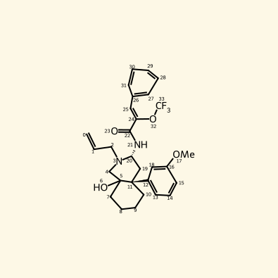 C=CCN1CC2(O)CCCC[C@@]2(c2cccc(OC)c2)C[C@H]1NC(=O)C(=Cc1ccccc1)OC(F)(F)F